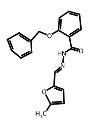 Cc1ccc(/C=N/NC(=O)c2ccccc2OCc2ccccc2)o1